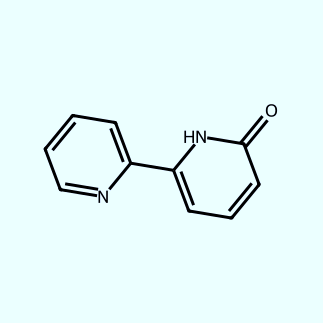 O=c1cccc(-c2ccccn2)[nH]1